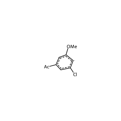 COc1[c]c(Cl)cc(C(C)=O)c1